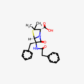 CC1(C)S[C@H]2N(C(=O)[C@]2(Cc2ccccc2)NC(=O)Cc2ccccc2)[C@H]1C(=O)O